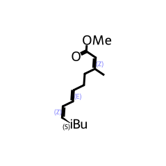 [CH2]C[C@H](C)/C=C\C=C\CC/C(C)=C\C(=O)OC